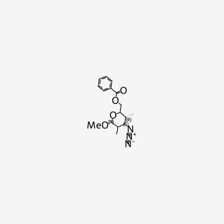 CO[C@@H]1OC(COC(=O)c2ccccc2)[C@H](C)[C@H](N=[N+]=[N-])C1C